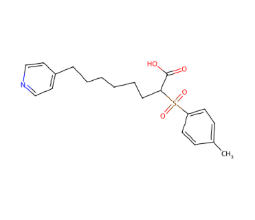 Cc1ccc(S(=O)(=O)C(CCCCCCc2ccncc2)C(=O)O)cc1